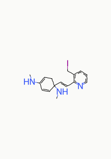 CNC1=CCC(C=Cc2ncccc2CI)(NC)C=C1